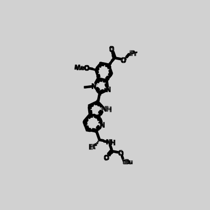 CC[C@@H](NC(=O)OC(C)(C)C)c1ccc2cc(-c3nc4cc(C(=O)OC(C)C)cc(OC)c4n3C)[nH]c2n1